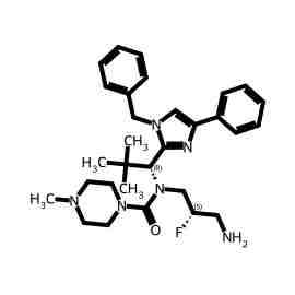 CN1CCN(C(=O)N(C[C@@H](F)CN)[C@@H](c2nc(-c3ccccc3)cn2Cc2ccccc2)C(C)(C)C)CC1